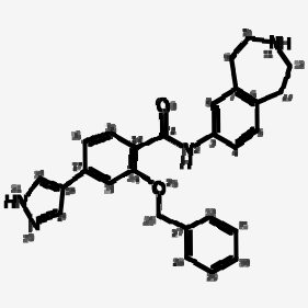 O=C(Nc1ccc2c(c1)CCNCC2)c1ccc(-c2cn[nH]c2)cc1OCc1ccccc1